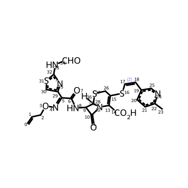 C=CCON=C(C(=O)NC1C(=O)N2C(C(=O)O)=C(S/C=C\c3ccc(C)nc3)CS[C@@H]12)c1csc(NC=O)n1